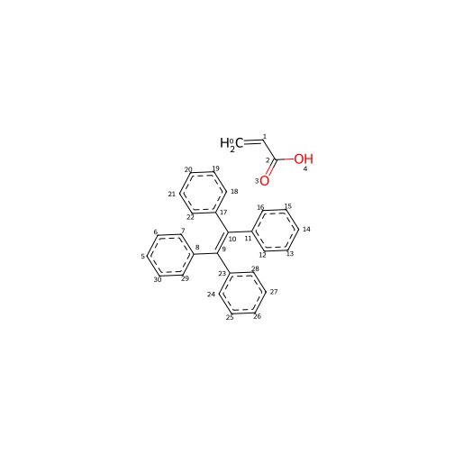 C=CC(=O)O.c1ccc(C(=C(c2ccccc2)c2ccccc2)c2ccccc2)cc1